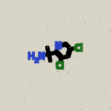 CC(C)(N)c1ncc(Cl)cc1Cl